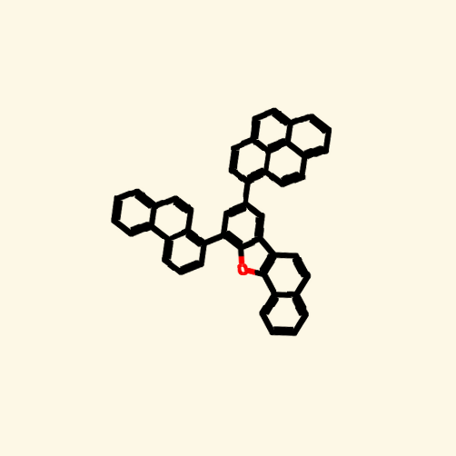 c1ccc2c(c1)ccc1c(-c3cc(-c4ccc5ccc6cccc7ccc4c5c67)cc4c3oc3c5ccccc5ccc43)cccc12